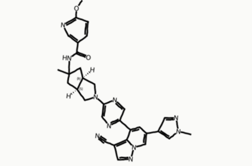 COc1ccc(C(=O)NC2(C)C[C@H]3CN(c4cnc(-c5cc(-c6cnn(C)c6)cn6ncc(C#N)c56)cn4)C[C@H]3C2)cn1